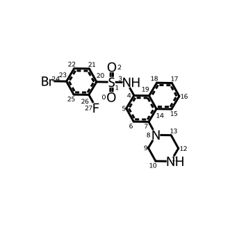 O=S(=O)(Nc1ccc(N2CCNCC2)c2ccccc12)c1ccc(Br)cc1F